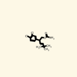 CC(C)(C)C=CC(COC(N)=O)c1ccc(Cl)c(Cl)c1